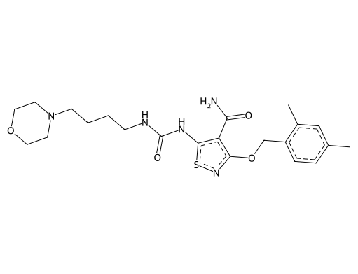 Cc1ccc(COc2nsc(NC(=O)NCCCCN3CCOCC3)c2C(N)=O)c(C)c1